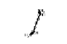 Nc1ccc(C(O)OCCCCOCCCCOCCCCOCCCCOC(O)c2ccc(N)cc2)cc1